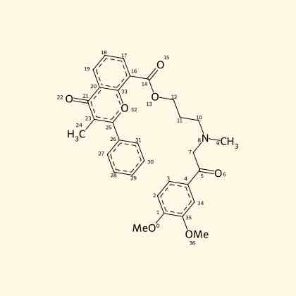 COc1ccc(C(=O)CN(C)CCCOC(=O)c2cccc3c(=O)c(C)c(-c4ccccc4)oc23)cc1OC